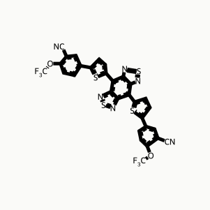 N#Cc1cc(-c2ccc(-c3c4c(c(-c5ccc(-c6ccc(OC(F)(F)F)c(C#N)c6)s5)c5nsnc35)N=S=N4)s2)ccc1OC(F)(F)F